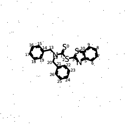 S=C(Sc1nc2ccccc2s1)N(Cc1ccccc1)Cc1ccccc1